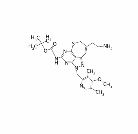 COc1c(C)cnc(Cn2nc3c4c(nc(NC(=O)OC(C)(C)C)nc42)SCC(CCN)=C3)c1C